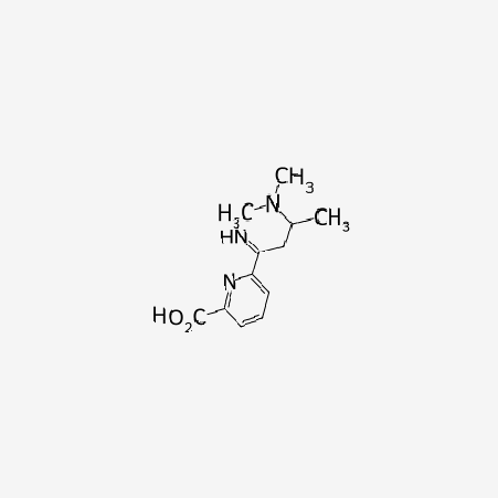 CC(CC(=N)c1cccc(C(=O)O)n1)N(C)C